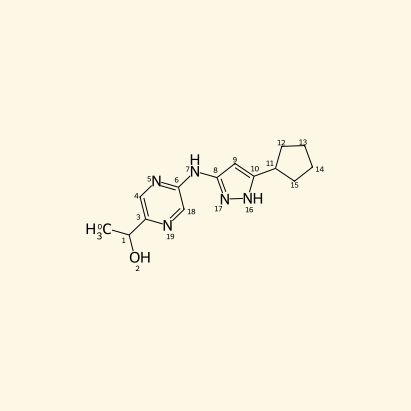 CC(O)c1cnc(Nc2cc(C3CCCC3)[nH]n2)cn1